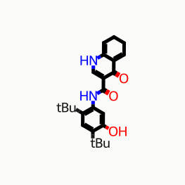 CC(C)(C)c1cc(C(C)(C)C)c(NC(=O)c2c[nH]c3c(c2=O)=CCCC=3)cc1O